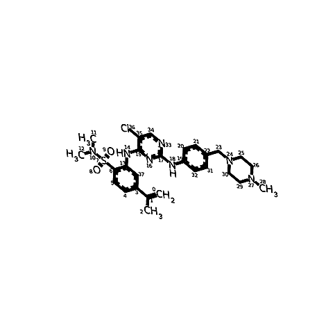 C=C(C)c1ccc(S(=O)(=O)N(C)C)c(Nc2nc(Nc3ccc(CN4CCN(C)CC4)cc3)ncc2Cl)c1